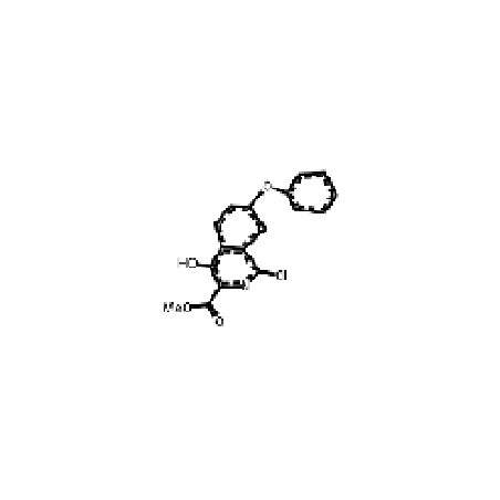 COC(=O)c1nc(Cl)c2cc(Oc3ccccc3)ccc2c1O